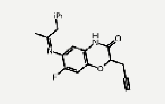 C#CCC1Oc2cc(F)c(N=C(C)CC(C)C)cc2NC1=O